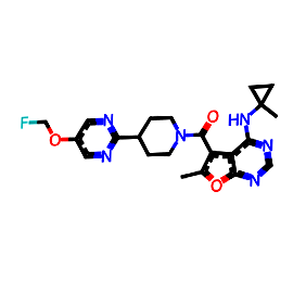 Cc1oc2ncnc(NC3(C)CC3)c2c1C(=O)N1CCC(c2ncc(OCF)cn2)CC1